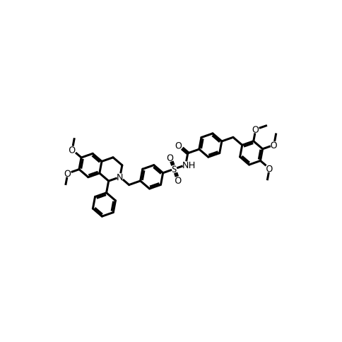 COc1cc2c(cc1OC)C(c1ccccc1)N(Cc1ccc(S(=O)(=O)NC(=O)c3ccc(Cc4ccc(OC)c(OC)c4OC)cc3)cc1)CC2